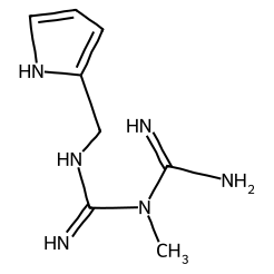 CN(C(=N)N)C(=N)NCc1ccc[nH]1